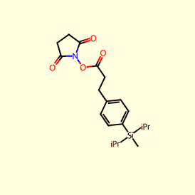 CC(C)[Si](C)(c1ccc(CCC(=O)ON2C(=O)CCC2=O)cc1)C(C)C